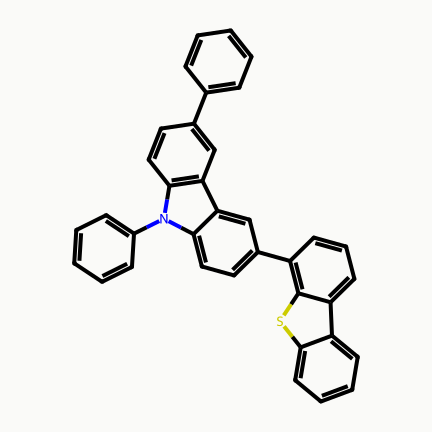 c1ccc(-c2ccc3c(c2)c2cc(-c4cccc5c4sc4ccccc45)ccc2n3-c2ccccc2)cc1